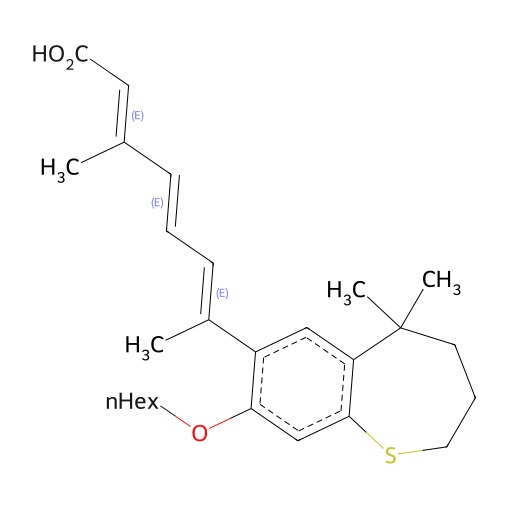 CCCCCCOc1cc2c(cc1/C(C)=C/C=C/C(C)=C/C(=O)O)C(C)(C)CCCS2